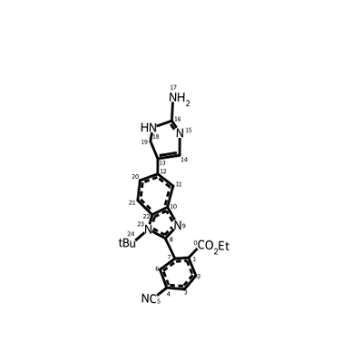 CCOC(=O)c1ccc(C#N)cc1-c1nc2cc(C3=CN=C(N)NC3)ccc2n1C(C)(C)C